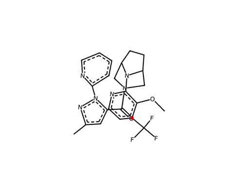 COc1c(C(F)(F)F)ccnc1N1C2CCC1CN(C(=O)c1cc(C)nn1-c1ccccn1)C2